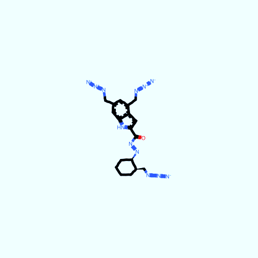 [N-]=[N+]=NCc1cc(CN=[N+]=[N-])c2cc(C(=O)N=N[C@@H]3CCCC[C@@H]3CN=[N+]=[N-])[nH]c2c1